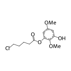 COc1cc(O)c(OC)c(OC(=O)CCCCCl)c1